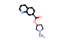 CN1CC[C@H](OC(=O)c2ccc3cccnc3c2)C1